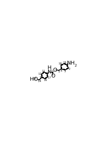 Nc1ccc(COC(=O)Nc2ccc(CO)cc2)cc1